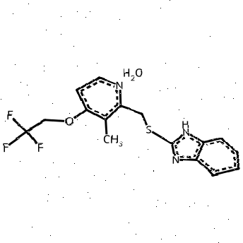 Cc1c(OCC(F)(F)F)ccnc1CSc1nc2ccccc2[nH]1.O